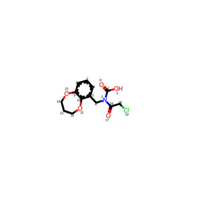 O=C(O)N(Cc1cccc2c1OCCCO2)C(=O)CCl